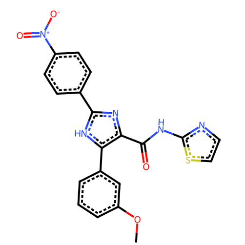 COc1cccc(-c2[nH]c(-c3ccc([N+](=O)[O-])cc3)nc2C(=O)Nc2nccs2)c1